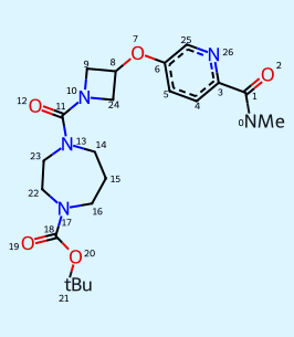 CNC(=O)c1ccc(OC2CN(C(=O)N3CCCN(C(=O)OC(C)(C)C)CC3)C2)cn1